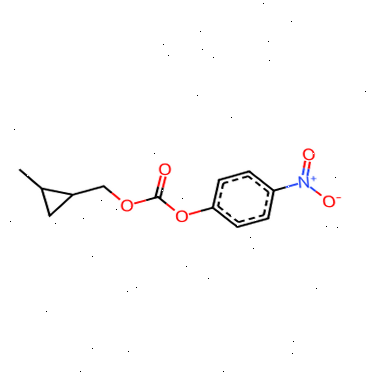 CC1CC1COC(=O)Oc1ccc([N+](=O)[O-])cc1